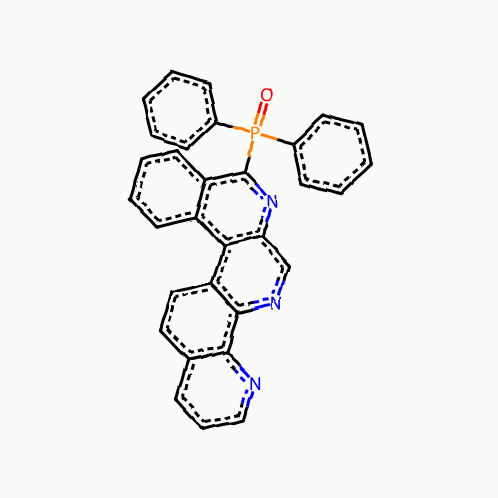 O=P(c1ccccc1)(c1ccccc1)c1nc2cnc3c(ccc4cccnc43)c2c2ccccc12